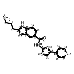 NCCCc1nc2cc(C(=O)Nc3nc(-c4ccncc4)cs3)ccc2[nH]1